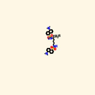 CN(C)c1cccc2c(S(=O)(=O)NCCCCC(NS(=O)(=O)c3cccc4c(N(C)C)cccc34)C(=O)O)cccc12